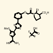 CCC1C(C(=O)O)CCCN1C(=O)COc1cccc(-c2csc(-c3cc(C(=N)N)sc3SC)n2)c1.O=C(O)C(F)(F)F